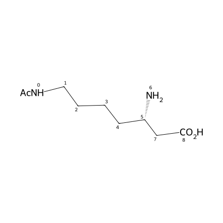 CC(=O)NCCCC[C@H](N)CC(=O)O